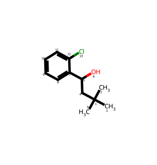 CC(C)(C)CC(O)c1ccccc1Cl